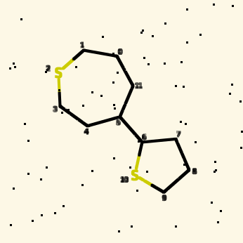 C1CSCCC(C2CCCS2)C1